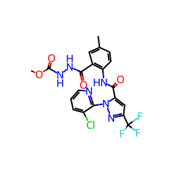 COC(=O)NNC(=O)c1cc(C)ccc1NC(=O)c1cc(C(F)(F)F)nn1-c1ncccc1Cl